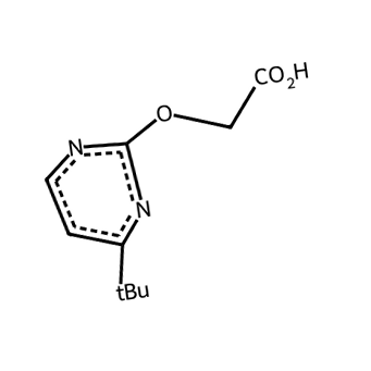 CC(C)(C)c1ccnc(OCC(=O)O)n1